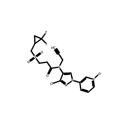 C#CCN(C(=O)CCS(=O)(=O)CC1CC1(F)F)c1cn(-c2ccc[n+]([O-])c2)nc1Cl